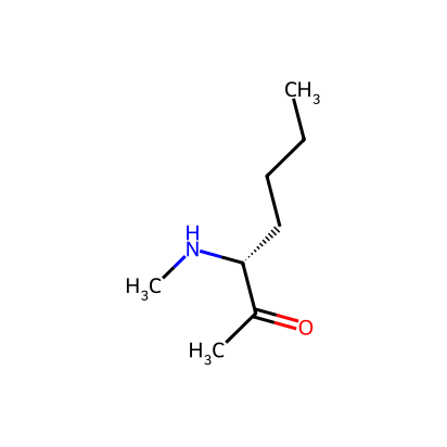 CCCC[C@@H](NC)C(C)=O